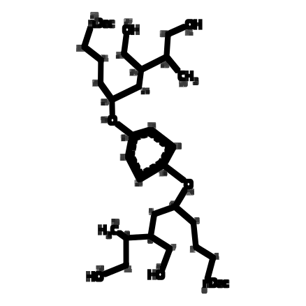 CCCCCCCCCCCCCC(CC(CO)C(C)CO)Oc1ccc(OC(CCCCCCCCCCCCC)CC(CO)C(C)CO)cc1